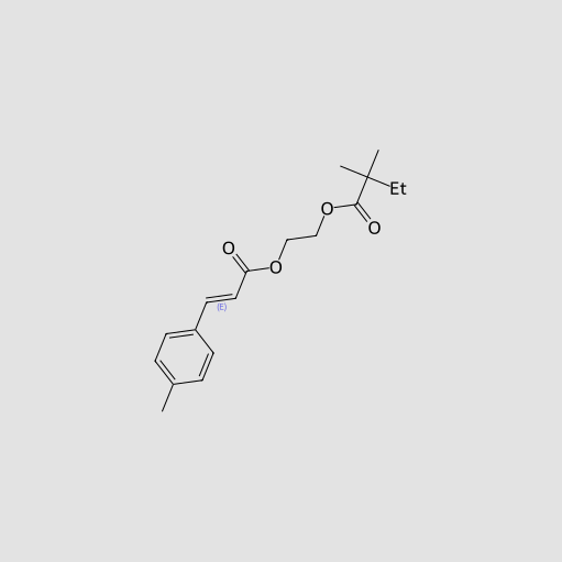 CCC(C)(C)C(=O)OCCOC(=O)/C=C/c1ccc(C)cc1